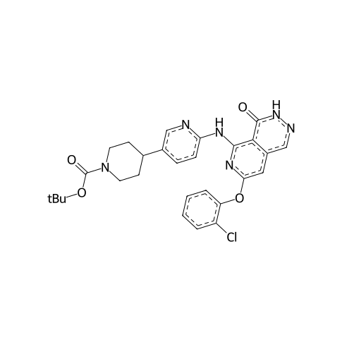 CC(C)(C)OC(=O)N1CCC(c2ccc(Nc3nc(Oc4ccccc4Cl)cc4cn[nH]c(=O)c34)nc2)CC1